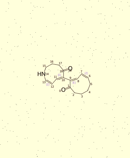 O=C1CCCC\C=C/C=C1\C1=C/C=C\NCCCC1=O